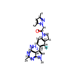 Cc1cc(C)n(CC(=O)N2CCc3c2ccc(-c2cn(C)c4nc(C)nc(N)c24)c3F)n1